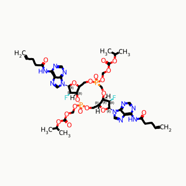 C=CCCC(=O)Nc1ncnc2c1ncn2[C@@H]1O[C@@H]2COP(=O)(OCOC(=O)OC(C)C)O[C@@H]3C(COP(=O)(OCOC(=O)OC(C)C)CO[C@H]2[C@H]1F)O[C@@H](n1cnc2c(NC(=O)CCC=C)ncnc21)[C@@H]3F